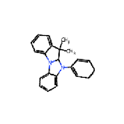 CC1(C)c2ccccc2N2c3ccccc3N(C3=CCCC=C3)C21